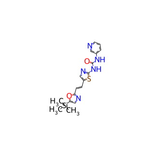 C[Si](C)(C)c1cnc(C=Cc2cnc(NC(=O)Nc3cccnc3)s2)o1